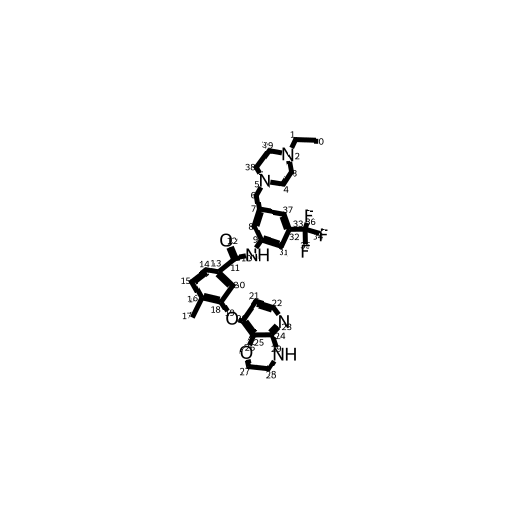 CCN1CCN(Cc2cc(NC(=O)c3ccc(C)c(Oc4ccnc5c4OCCN5)c3)cc(C(F)(F)F)c2)CC1